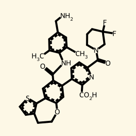 Cc1cc(CN)cc(C)c1NC(=O)c1cc2c(cc1-c1ccc(C(=O)N3CCCC(F)(F)C3)nc1C(=O)O)OCCc1ccsc1-2